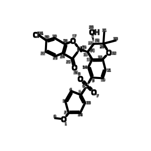 COc1ccc(S(=O)(=O)c2ccc3c(c2)[C@@H](n2oc4cc(Cl)ccc4c2=O)[C@H](O)C(C)(C)O3)cc1